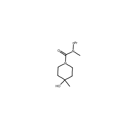 CCCN(C)C(=O)N1CCC(C)(O)CC1